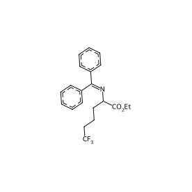 CCOC(=O)C(CCCC(F)(F)F)N=C(c1ccccc1)c1ccccc1